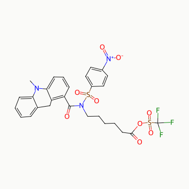 CN1c2ccccc2Cc2c(C(=O)N(CCCCCC(=O)OS(=O)(=O)C(F)(F)F)S(=O)(=O)c3ccc([N+](=O)[O-])cc3)cccc21